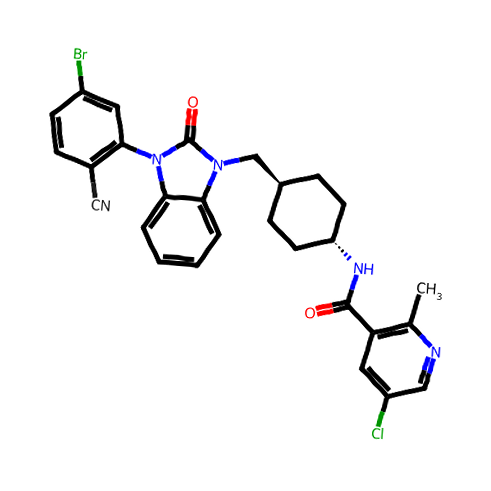 Cc1ncc(Cl)cc1C(=O)N[C@H]1CC[C@H](Cn2c(=O)n(-c3cc(Br)ccc3C#N)c3ccccc32)CC1